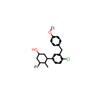 CCOc1ccc(Cc2cc(C3CC(O)CC(C(C)C)C3C)ccc2Cl)cc1